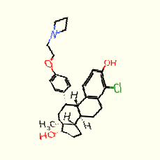 C[C@]12C[C@H](c3ccc(OCCN4CCC4)cc3)[C@@H]3c4ccc(O)c(Cl)c4CC[C@H]3[C@@H]1CC[C@@H]2O